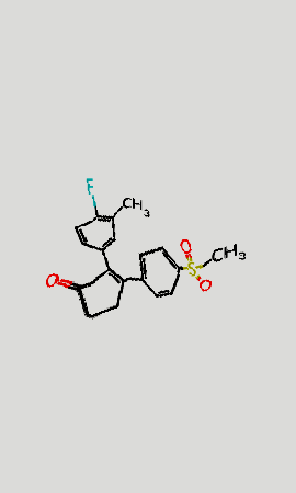 Cc1cc(C2=C(c3ccc(S(C)(=O)=O)cc3)CCC2=O)ccc1F